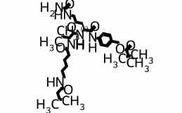 CC(C)CC(=O)NCCCCCC(=O)NC(C(=O)N[C@@H](CCCNC(N)=O)C(=O)Nc1ccc(COC(=O)C(C)(C)C)cc1)C(C)C